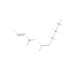 CCCCC(CC(F)(F)C(F)(F)C(F)(F)C(F)(F)F)OC(=O)C=CC(=O)O